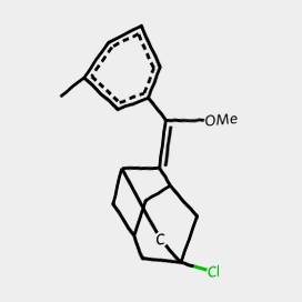 COC(=C1C2CC3CC1CC(Cl)(C3)C2)c1cccc(C)c1